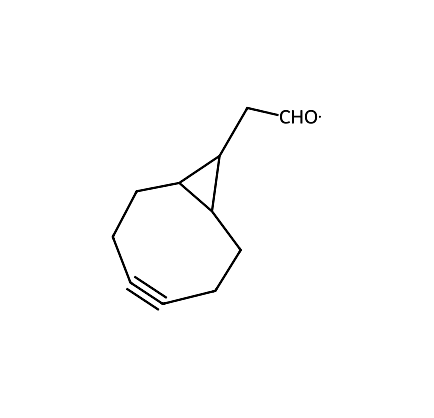 O=[C]CC1C2CCC#CCCC12